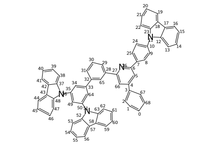 c1ccc(-c2cc(-c3ccc(-n4c5ccccc5c5ccccc54)cc3)nc(-c3cccc(-c4cc(-n5c6ccccc6c6ccccc65)cc(-n5c6ccccc6c6ccccc65)c4)c3)c2)cc1